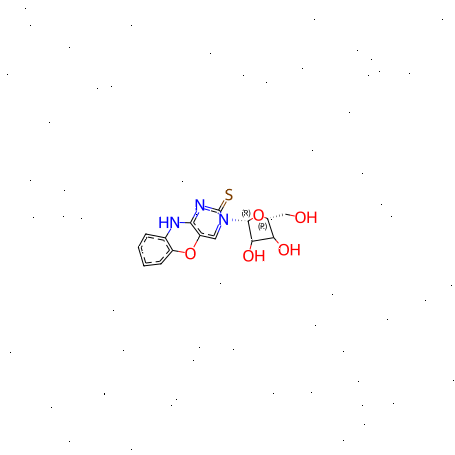 OC[C@H]1O[C@@H](n2cc3c(nc2=S)Nc2ccccc2O3)C(O)C1O